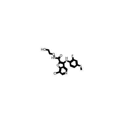 CSc1ccc(Nc2c(C(=O)NOCCO)oc3c(Cl)cncc23)c(F)c1